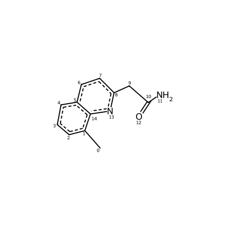 Cc1cccc2ccc(CC(N)=O)nc12